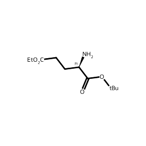 CCOC(=O)CC[C@@H](N)C(=O)OC(C)(C)C